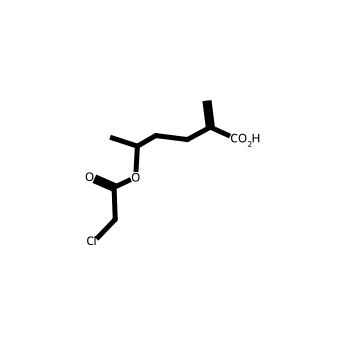 C=C(CCC(C)OC(=O)CCl)C(=O)O